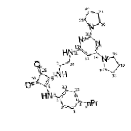 CCCc1ccc(Nc2c(NCCNc3cc(N4CCCC4)nc(N4CCCC4)n3)c(=O)c2=O)cc1